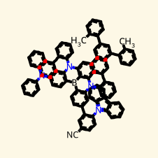 Cc1ccccc1-c1cc(-c2cc3c4c(c2)N(c2ccccc2-c2ccccc2)c2cc(N(c5ccccc5)c5ccccc5)ccc2B4c2ccc(-c4cc(C#N)ccc4-n4c5ccccc5c5ccccc54)cc2N3c2ccccc2-c2ccccc2)cc(-c2ccccc2C)c1